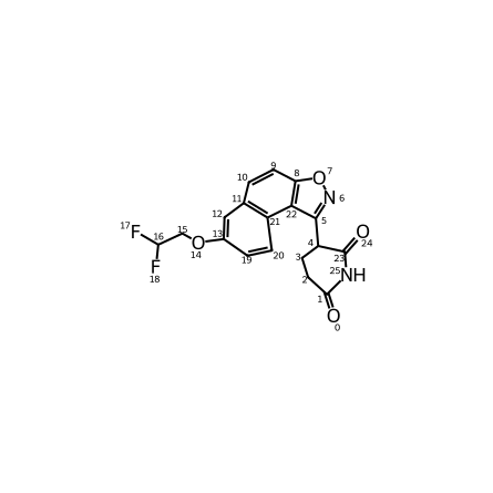 O=C1CCC(c2noc3ccc4cc(OCC(F)F)ccc4c23)C(=O)N1